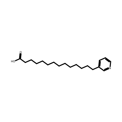 O=C(O)CCCCCCCCCCCCCc1cccnc1